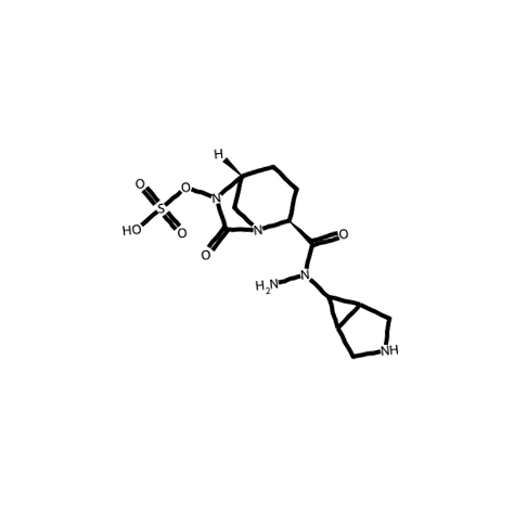 NN(C(=O)[C@@H]1CC[C@@H]2CN1C(=O)N2OS(=O)(=O)O)C1C2CNCC21